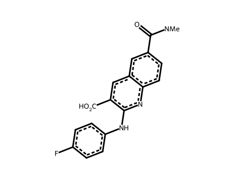 CNC(=O)c1ccc2nc(Nc3ccc(F)cc3)c(C(=O)O)cc2c1